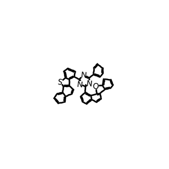 c1ccc(-c2nc(-c3cccc4sc5c6ccccc6ccc5c34)nc(-c3cccc4ccc5c6ccccc6oc5c34)n2)cc1